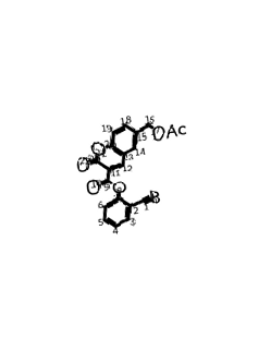 B#Cc1ccccc1OC(=O)c1cc2cc(COC(C)=O)ccc2oc1=O